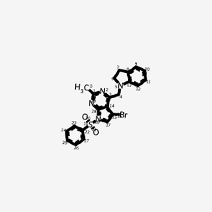 Cc1nc(CN2CCc3ccccc32)c2c(Br)cn(S(=O)(=O)c3ccccc3)c2n1